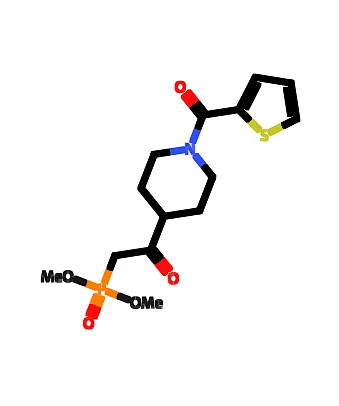 COP(=O)(CC(=O)C1CCN(C(=O)c2cccs2)CC1)OC